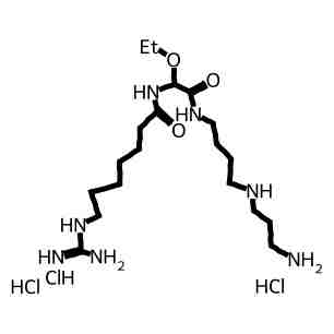 CCOC(NC(=O)CCCCCCNC(=N)N)C(=O)NCCCCNCCCN.Cl.Cl.Cl